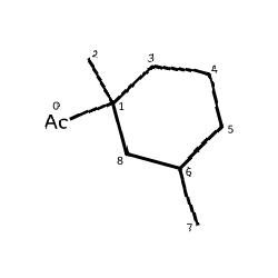 CC(=O)C1(C)CCCC(C)C1